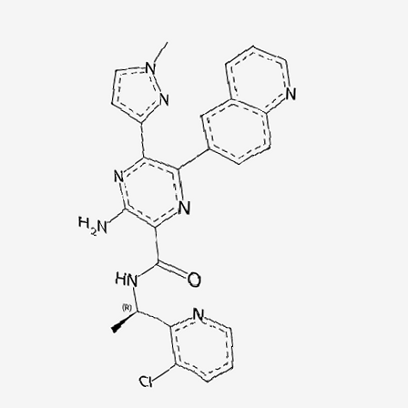 C[C@@H](NC(=O)c1nc(-c2ccc3ncccc3c2)c(-c2ccn(C)n2)nc1N)c1ncccc1Cl